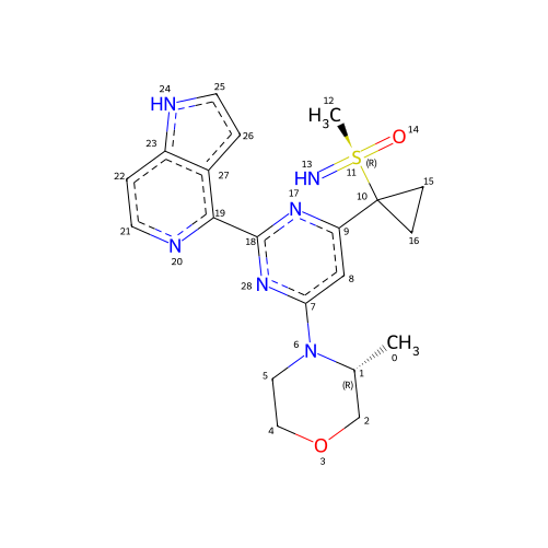 C[C@@H]1COCCN1c1cc(C2([S@](C)(=N)=O)CC2)nc(-c2nccc3[nH]ccc23)n1